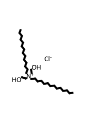 CCCCCCCCCCCCCC[N+](CCO)(CCO)CCCCCCCCCCCCCC.[Cl-]